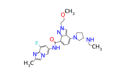 CCN[C@H]1CCN(c2ccc(C(=O)Nc3cc(F)c4nc(C)cn4c3)c3nn(CCOC)cc23)C1